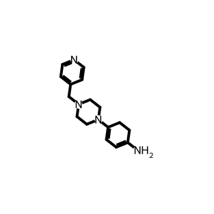 NC1=CC=C(N2CCN(Cc3ccncc3)CC2)CC1